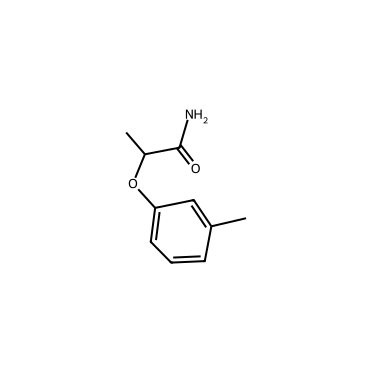 Cc1cccc(OC(C)C(N)=O)c1